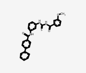 COc1cccc(C(=O)NC(=S)Nc2cccc(NC(=O)c3ccc(-c4ccccc4)cc3)c2)c1